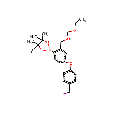 CCOCOCc1cc(Oc2ccc(CI)cc2)ccc1B1OC(C)(C)C(C)(C)O1